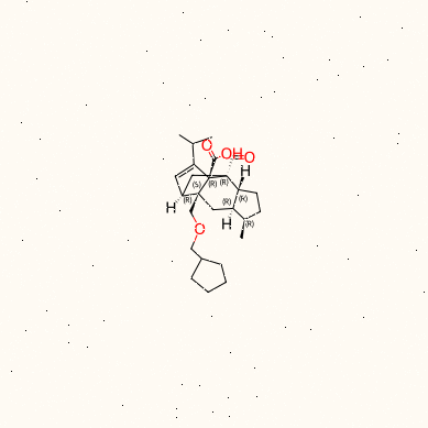 CC(C)C1=C[C@H]2C[C@@]3(C=O)[C@@H]4CC[C@@H](C)[C@H]4C[C@@]2(COCC2CCCC2)[C@]13C(=O)O